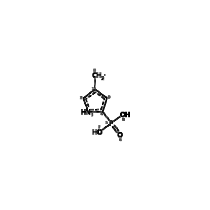 [CH2]c1c[nH]c(P(=O)(O)O)c1